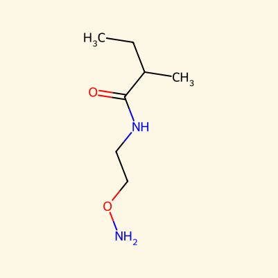 CCC(C)C(=O)NCCON